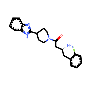 N[C@@H](CC(=O)N1CCC(c2nc3ccccc3[nH]2)CC1)Cc1ccccc1F